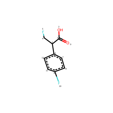 O=C(O)C(CF)c1ccc(F)cc1